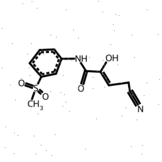 CS(=O)(=O)c1cccc(NC(=O)C(O)=CCC#N)c1